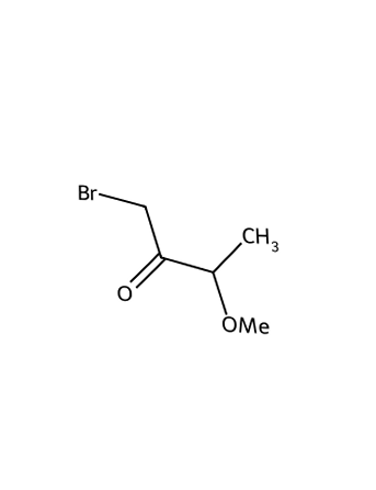 COC(C)C(=O)CBr